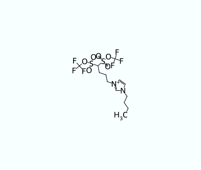 CCCCn1cc[n+](CCCC(S(=O)(=O)OC(F)(F)F)S(=O)(=O)OC(F)(F)F)c1